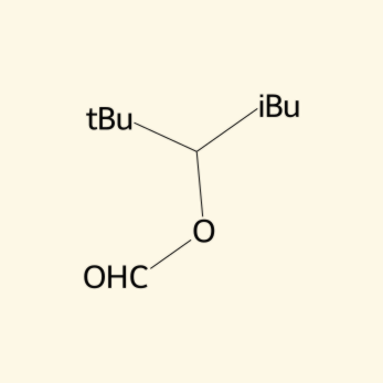 CCC(C)C(OC=O)C(C)(C)C